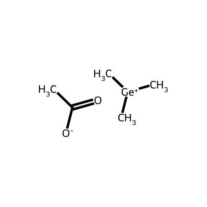 CC(=O)[O-].[CH3][Ge+]([CH3])[CH3]